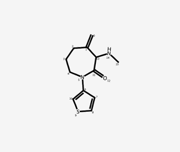 C=C1CCCN(c2ccsc2)C(=O)C1NC